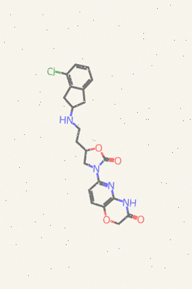 O=C1COc2ccc(N3CC(CCNC4Cc5cccc(Cl)c5C4)OC3=O)nc2N1